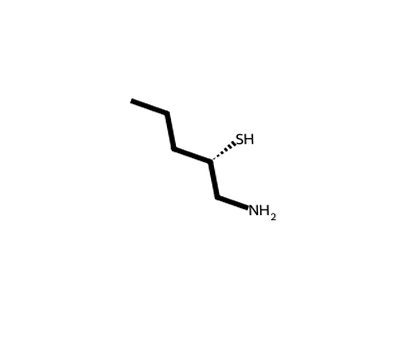 CCC[C@H](S)CN